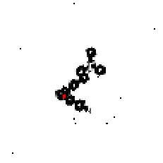 N#Cc1ccc(-c2ccc(C34CC5CC(C3)CC(c3ccc(-c6cccc7c(-c8nc(-c9ccccc9)nc(-c9ccccc9)n8)cccc67)cc3)(C5)C4)cc2)cc1